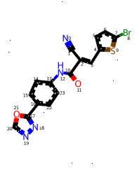 N#C/C(=C\c1ccc(Br)s1)C(=O)Nc1ccc(-c2nnco2)cc1